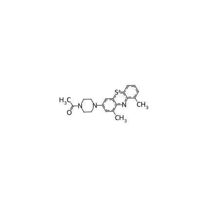 CC(=O)N1CCN(c2cc(C)c3nc4c(C)cccc4[s+]c3c2)CC1